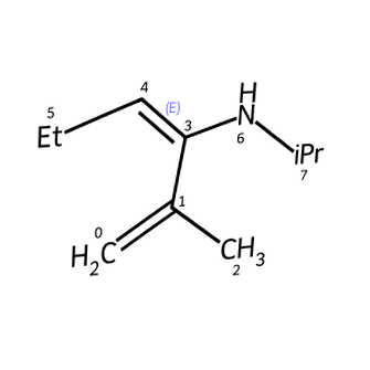 C=C(C)/C(=C\CC)NC(C)C